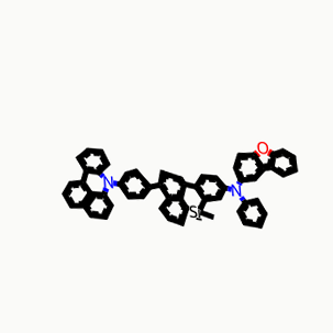 C[Si]1(C)c2cc(N(c3ccccc3)c3ccc4oc5ccccc5c4c3)ccc2-c2ccc(-c3ccc(N(c4ccccc4)c4ccccc4-c4ccccc4)cc3)c3cccc1c23